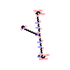 CC(=O)N[C@H]1[C@H](OCCCCC(=O)NCCCNC(=O)CCOCC(COCCC(=O)NCCCNC(=O)CCCCO[C@@H]2O[C@H](CO)[C@H](O)[C@H](O)C2C)NC(=O)CCCCCCCCCCCN2C(=O)C=CC2=O)O[C@H](CO)[C@H](O)[C@@H]1O